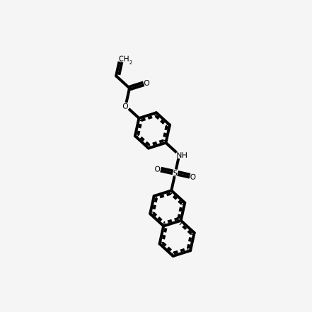 C=CC(=O)Oc1ccc(NS(=O)(=O)c2ccc3ccccc3c2)cc1